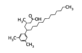 CCCCCCCCCCCCCC(CC(C)CC(=O)O)c1cc(C)cc(C)c1